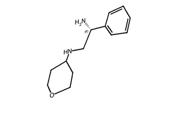 N[C@@H](CNC1CCOCC1)c1ccccc1